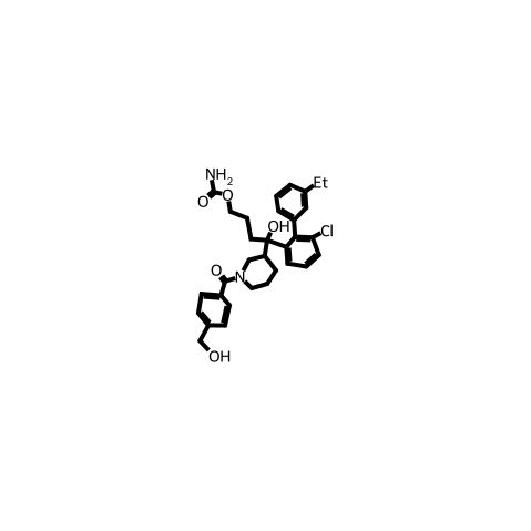 CCc1cccc(-c2c(Cl)cccc2C(O)(CCCOC(N)=O)C2CCCN(C(=O)c3ccc(CO)cc3)C2)c1